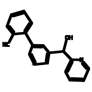 N#Cc1ccccc1-c1c[c]cc(C(O)c2ccccn2)c1